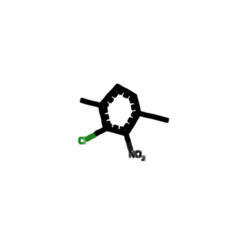 Cc1ccc(C)c([N+](=O)[O-])c1Cl